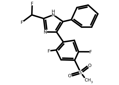 CS(=O)(=O)c1cc(F)c(-c2nc(C(F)F)[nH]c2-c2ccccc2)cc1F